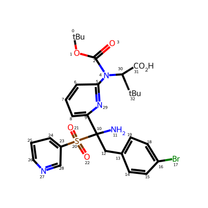 CC(C)(C)OC(=O)N(c1cccc(C(N)(Cc2ccc(Br)cc2)S(=O)(=O)c2cccnc2)n1)C(C(=O)O)C(C)(C)C